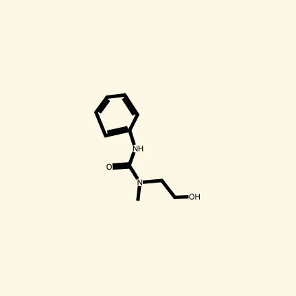 CN(CCO)C(=O)Nc1ccccc1